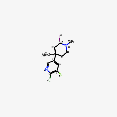 COC1(c2cnc(Cl)c(F)c2)CCN(C(C)C)C(I)C1